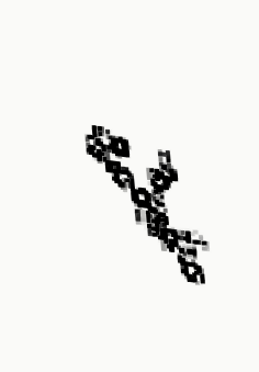 CC(C)c1ccccc1[C@@H]1COCCN1C1CC2(CCN(c3ccc(C(=O)NS(=O)(=O)c4cnc(NCC5CCOCC5)c([N+](=O)[O-])c4)c(Oc4cnc5[nH]ccc5c4)c3)CC2)C1